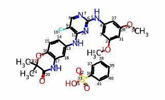 COc1cc(Nc2ncc(F)c(Nc3ccc4c(c3)NC(=O)C(C)(C)O4)n2)cc(OC)c1.O=S(=O)(O)c1ccccc1